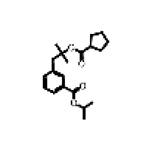 CC(C)OC(=O)c1cccc(CC(C)(C)OC(=O)C2CCCC2)c1